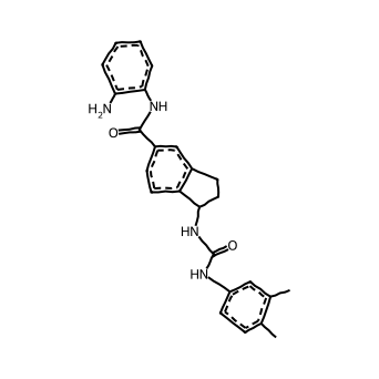 Cc1ccc(NC(=O)NC2CCc3cc(C(=O)Nc4ccccc4N)ccc32)cc1C